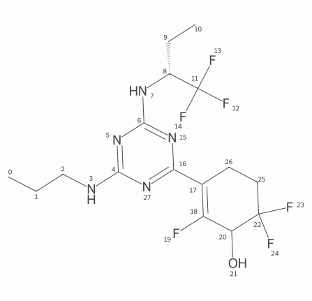 CCCNc1nc(N[C@H](CC)C(F)(F)F)nc(C2=C(F)C(O)C(F)(F)CC2)n1